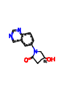 O=C1C[C@H](O)CN1c1ccc2ncncc2c1